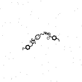 CCc1ccc(C(=O)N=[N+]=NCCN2CCN(c3nc(Cc4ccc(F)cc4)ns3)CC2)cc1